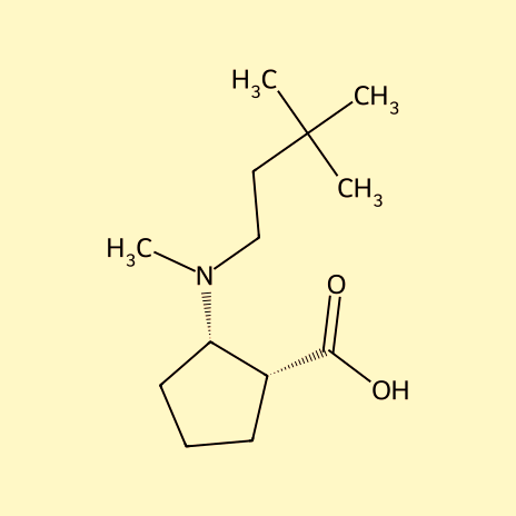 CN(CCC(C)(C)C)[C@H]1CCC[C@H]1C(=O)O